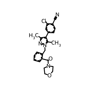 Cc1nn(Cc2ccccc2C(=O)N2CCOCC2)c(C)c1-c1ccc(C#N)c(Cl)c1